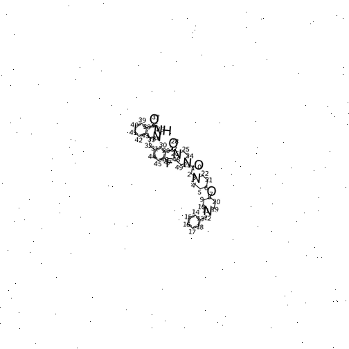 O=C(CN1CCC(OC2CCN(Cc3ccccc3)CC2)CC1)N1CCN(C(=O)c2cc(Cc3n[nH]c(=O)c4ccccc34)ccc2F)CC1